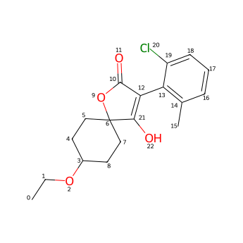 CCOC1CCC2(CC1)OC(=O)C(c1c(C)cccc1Cl)=C2O